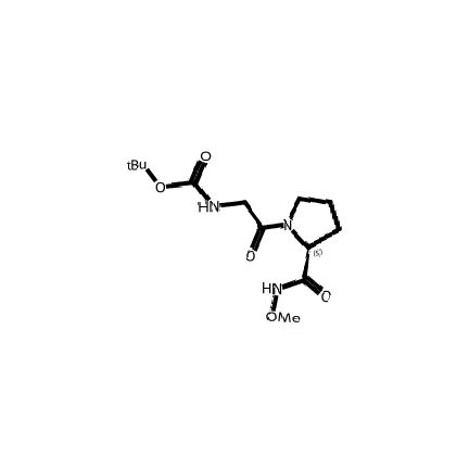 CONC(=O)[C@@H]1CCCN1C(=O)CNC(=O)OC(C)(C)C